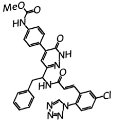 COC(=O)Nc1ccc(-c2cc(C(Cc3ccccc3)NC(=O)C=Cc3cc(Cl)ccc3-n3cnnn3)n[nH]c2=O)cc1